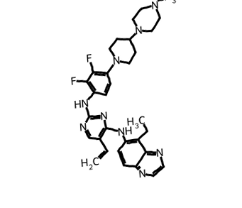 C=Cc1cnc(Nc2ccc(N3CCC(N4CCN(C)CC4)CC3)c(F)c2F)nc1Nc1ccc2nccnc2c1CC